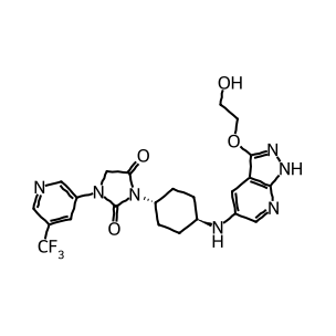 O=C1CN(c2cncc(C(F)(F)F)c2)C(=O)N1[C@H]1CC[C@H](Nc2cnc3[nH]nc(OCCO)c3c2)CC1